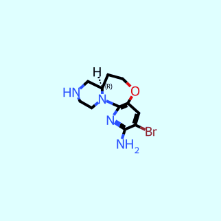 Nc1nc2c(cc1Br)OCC[C@@H]1CNCCN21